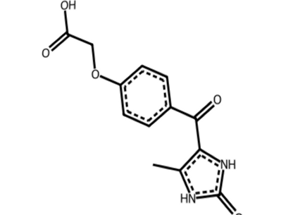 Cc1[nH]c(=O)[nH]c1C(=O)c1ccc(OCC(=O)O)cc1